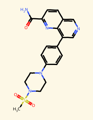 CS(=O)(=O)N1CCN(c2ccc(-c3cncc4ccc(C(N)=O)nc34)cc2)CC1